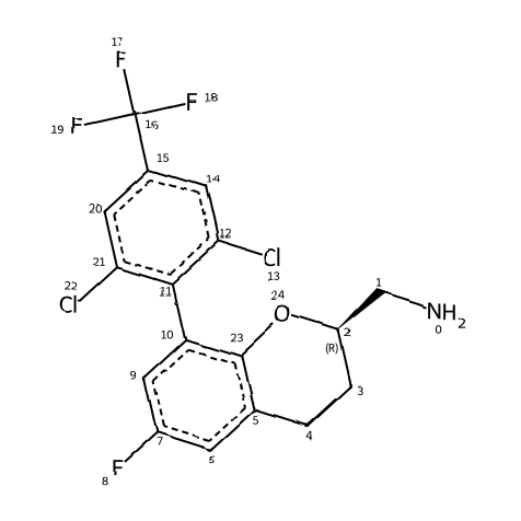 NC[C@H]1CCc2cc(F)cc(-c3c(Cl)cc(C(F)(F)F)cc3Cl)c2O1